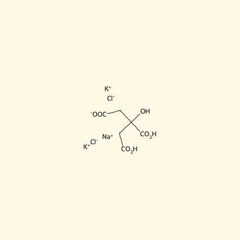 O=C([O-])CC(O)(CC(=O)O)C(=O)O.[Cl-].[Cl-].[K+].[K+].[Na+]